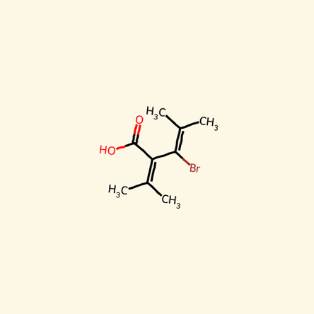 CC(C)=C(Br)C(C(=O)O)=C(C)C